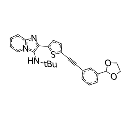 CC(C)(C)Nc1c(-c2ccc(C#Cc3cccc(C4OCCO4)c3)s2)nc2ccccn12